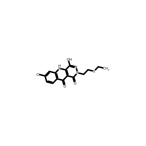 CCSCCn1nc(O)c2[nH]c3cc(Cl)ccc3c(=O)c2c1=O